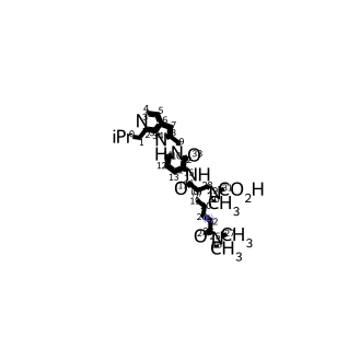 CC(C)Cc1nccc2cc(Cn3cccc(NC(=O)[C@@H](CC/C=C/C(=O)N(C)C)CN(C)C(=O)O)c3=O)[nH]c12